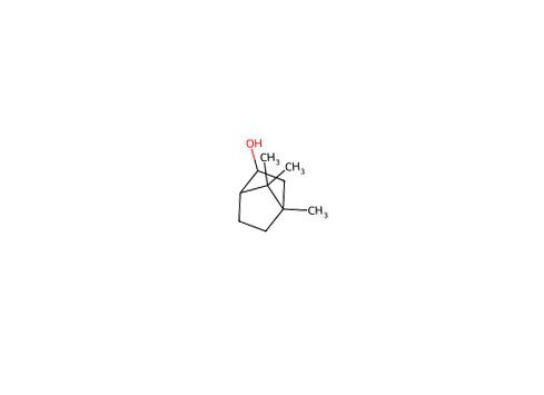 CC12CCC(C(O)C1)C2(C)C